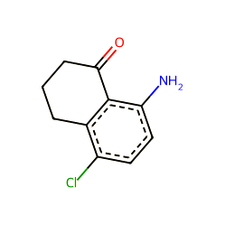 Nc1ccc(Cl)c2c1C(=O)CCC2